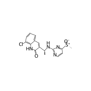 C[C@H](Nc1nccc([S@@+](C)[O-])n1)c1cc2cccc(Cl)c2[nH]c1=O